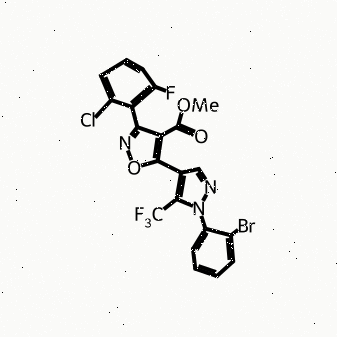 COC(=O)c1c(-c2c(F)cccc2Cl)noc1-c1cnn(-c2ccccc2Br)c1C(F)(F)F